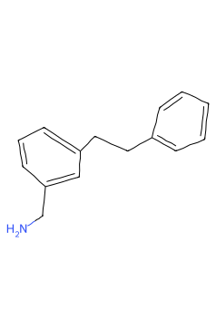 NCc1cccc(CCc2ccccc2)c1